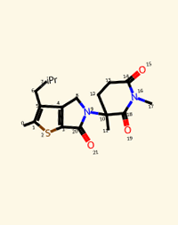 Cc1sc2c(c1CC(C)C)CN(C1(C)CCC(=O)N(C)C1=O)C2=O